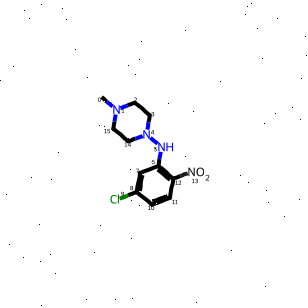 CN1CCN(Nc2cc(Cl)ccc2[N+](=O)[O-])CC1